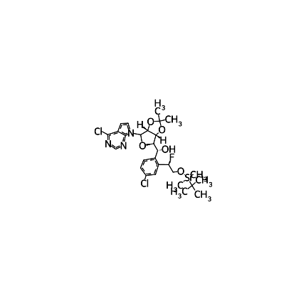 CC1(C)O[C@@H]2[C@@H]([C@H](O)c3ccc(Cl)cc3[C@@H](F)CO[Si](C)(C)C(C)(C)C)OC(n3ccc4c(Cl)ncnc43)[C@@H]2O1